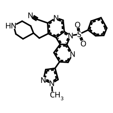 Cn1cc(-c2cnc3c(c2)c2c(CC4CCNCC4)c(C#N)ncc2n3S(=O)(=O)c2ccccc2)cn1